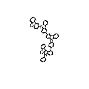 c1ccc(-n2c3cccc(-c4ccc(-n5c6ccccc6c6cc(-c7ccc8c(c7)c7ccccc7n8-c7ccc8oc9ccccc9c8c7)ccc65)cc4)c3c3c4ccccc4oc32)cc1